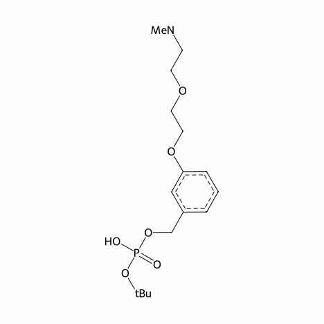 CNCCOCCOc1cccc(COP(=O)(O)OC(C)(C)C)c1